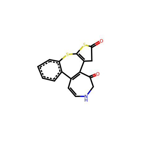 O=C1CC2=C(S1)Sc1ccccc1C1=C2C(=O)CNC=C1